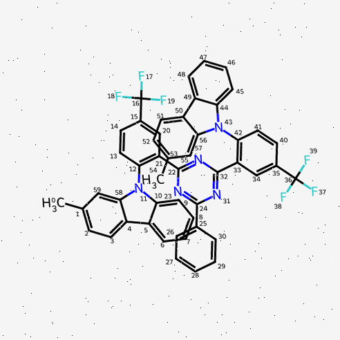 Cc1ccc2c3ccccc3n(-c3ccc(C(F)(F)F)cc3-c3nc(-c4ccccc4)nc(-c4cc(C(F)(F)F)ccc4-n4c5ccccc5c5ccc(C)cc54)n3)c2c1